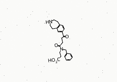 O=C(O)CCN(Cc1ccccc1)C(=O)CCC(=O)c1ccc2c(c1)CCNCC2